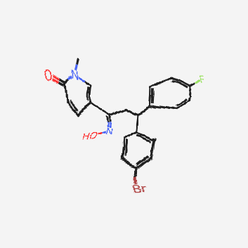 Cn1cc(/C(CC(c2ccc(F)cc2)c2ccc(Br)cc2)=N\O)ccc1=O